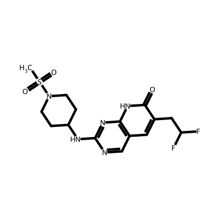 CS(=O)(=O)N1CCC(Nc2ncc3cc(CC(F)F)c(=O)[nH]c3n2)CC1